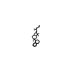 C=C/C=C(I)\C=C1/CC2CCC(I)(C3=c4ccccc4=CCC3)CC2C1(C)C